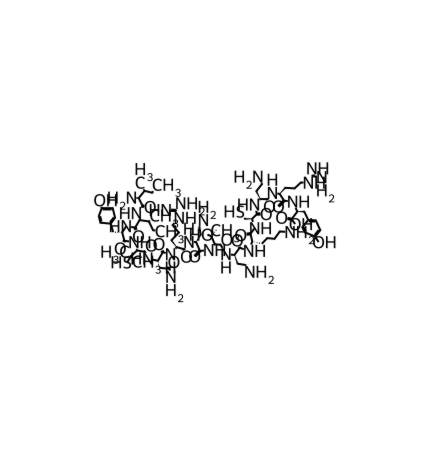 CC[C@H](C)[C@H](N)C(=O)N[C@H](C(=O)N[C@@H](Cc1ccc(O)cc1)C(=O)N[C@H](C(=O)N[C@@H](CC(N)=O)C(=O)N[C@@H](CCCNC(=N)N)C(=O)N[C@@H](CCN)C(=O)N[C@H](C(=O)N[C@H](CCN)C(=O)N[C@@H](CCCCN)C(=O)N[C@@H](CS)C(=O)N[C@@H](CCN)C(=O)N[C@@H](CCCNC(=N)N)C(=O)N[C@@H](Cc1ccc(O)cc1)C(=O)O)[C@@H](C)O)C(C)(C)S)[C@@H](C)CC